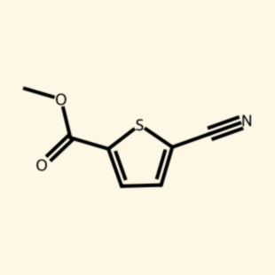 COC(=O)c1ccc(C#N)s1